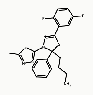 Cc1nnc(N2N=C(c3cc(F)ccc3F)SC2(CCCN)c2ccccc2)s1